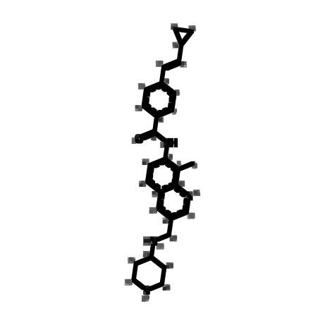 Cc1c(NC(=O)c2ccc(C=CC3CC3)cc2)ccc2cc(CNC3CCSCC3)cnc12